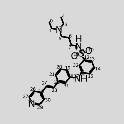 CCN(CC)CCCNS(=O)(=O)c1cccc(Nc2cccc(/C=C/c3ccncc3)c2)c1